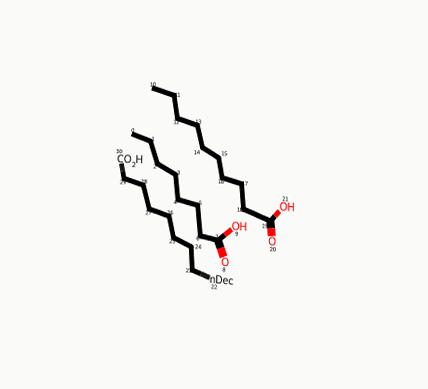 CCCCCCCC(=O)O.CCCCCCCCCC(=O)O.CCCCCCCCCCCCCCCCCC(=O)O